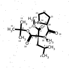 COC(=O)[C@@](CC(C)C)(C(=O)OC(C)(C)C)N(C)C(=O)[C@@H]1CCCN1